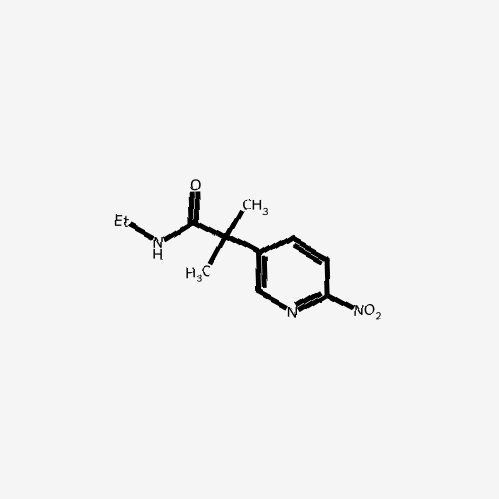 CCNC(=O)C(C)(C)c1ccc([N+](=O)[O-])nc1